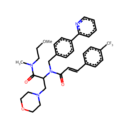 COCCN(C)C(=O)C(CN1CCOCC1)N(Cc1ccc(-c2ccccn2)cc1)C(=O)/C=C/c1ccc(C(F)(F)F)cc1